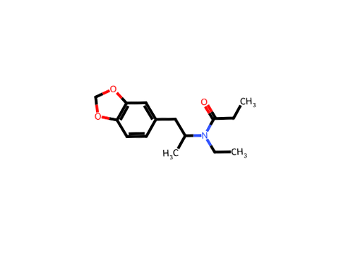 CCC(=O)N(CC)C(C)Cc1ccc2c(c1)OCO2